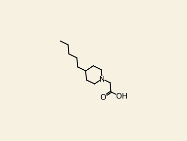 CCCCCC1CCN(CC(=O)O)CC1